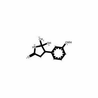 COc1cccc(C2CC(=O)NC2(C)O)c1